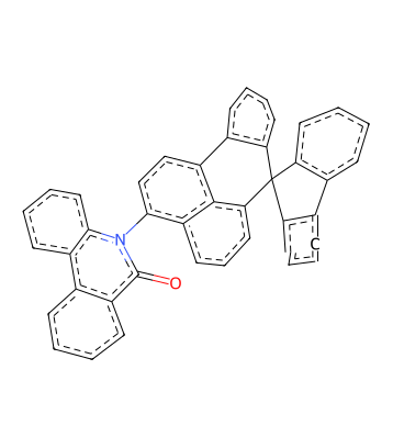 O=c1c2ccccc2c2ccccc2n1-c1ccc2c3c(cccc13)C1(c3ccccc3-c3ccccc31)c1ccccc1-2